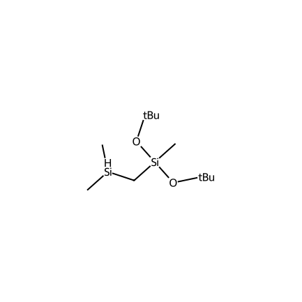 C[SiH](C)C[Si](C)(OC(C)(C)C)OC(C)(C)C